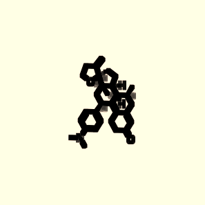 C=C1CCO[C@@]12CC[C@H]1[C@H]3C(=C4CCC(=O)C=C4C[C@@H]3C)[C@@H](c3ccc(N(C)C)cc3)C[C@@]12C